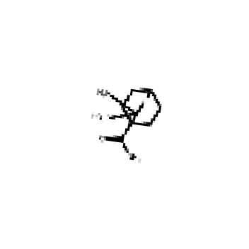 NC(=O)C12CCC(CC1)CC2(N)S(=O)(=O)O